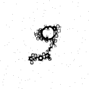 COc1cc2cc(c1Cl)N(C)C(=O)C[C@H](OC(=O)[C@@H](C)OCCCSC1CC(=O)N(C[C@H]3CC[C@H](C(=O)ON4C(=O)CCC4=O)CC3)C1=O)[C@@]1(C)C[C@@H](O1)[C@@H]1C[C@@](O)(NC(=O)O1)[C@H](OC)/C=C/C=C(\C)C2